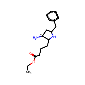 CCOC(=O)CCCC1NC(Cc2ccccc2)C[C@@H]1N